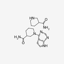 NC(=O)C1CCCN(c2ncnc3[nH]ccc23)C1.NC(=O)C1CCCNC1